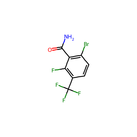 NC(=O)c1c(Br)ccc(C(F)(F)F)c1F